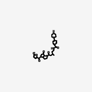 CC(CCNC(=O)c1ccc(N2CCNCC2)cc1)CC(=O)N1CCC2C1C(=O)CN2C(=O)c1ccc(Cl)o1